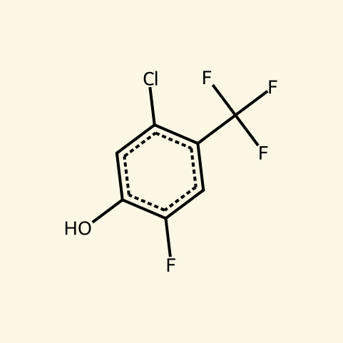 Oc1cc(Cl)c(C(F)(F)F)cc1F